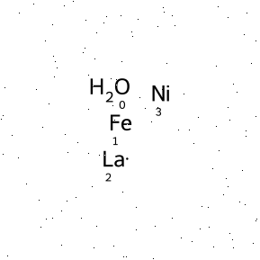 O.[Fe].[La].[Ni]